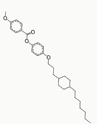 CCCCCCCC1CCC(CCCOc2ccc(OC(=O)c3ccc(OC)cc3)cc2)CC1